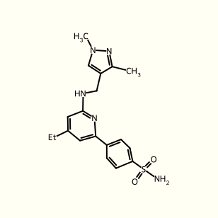 CCc1cc(NCc2cn(C)nc2C)nc(-c2ccc(S(N)(=O)=O)cc2)c1